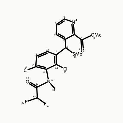 COC(=O)c1ncccc1C(SC)c1ccc(Cl)c(N(C)C(=O)C(F)F)c1Cl